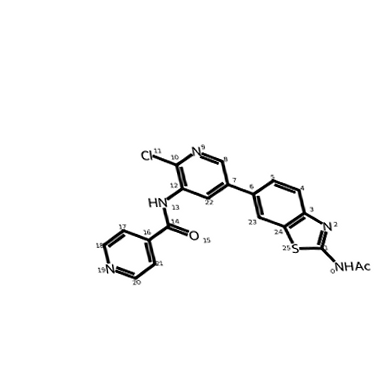 CC(=O)Nc1nc2ccc(-c3cnc(Cl)c(NC(=O)c4ccncc4)c3)cc2s1